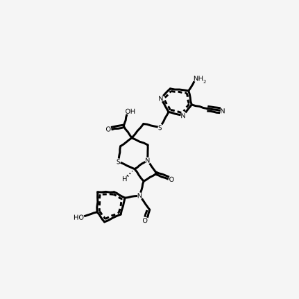 N#Cc1nc(SCC2(C(=O)O)CS[C@@H]3C(N(C=O)c4ccc(O)cc4)C(=O)N3C2)ncc1N